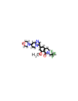 COc1cc(-c2cnc3cc(N4CCOCC4)ccn23)cc2c1C(=O)N(CC(F)(F)F)CC2